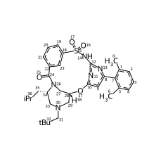 Cc1cccc(C)c1-c1cc2nc(n1)NS(=O)(=O)c1cccc(c1)C(=O)N1C[C@@H](CN(CC(C)(C)C)C[C@@H]1CC(C)C)O2